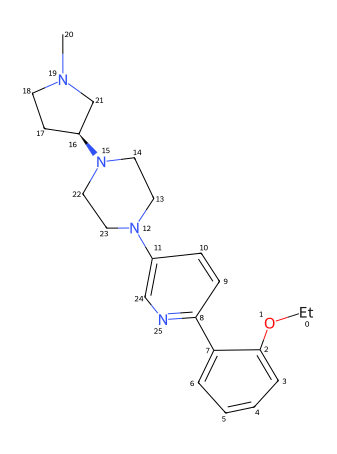 CCOc1ccccc1-c1ccc(N2CCN([C@H]3CCN(C)C3)CC2)cn1